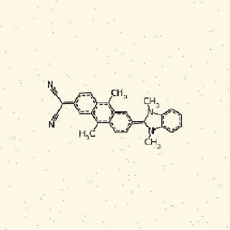 Cc1c2ccc(=C3N(C)c4ccccc4N3C)cc2c(C)c2ccc(=C(C#N)C#N)cc12